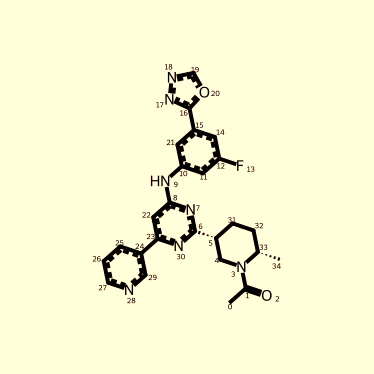 CC(=O)N1C[C@H](c2nc(Nc3cc(F)cc(-c4nnco4)c3)cc(-c3cccnc3)n2)CC[C@@H]1C